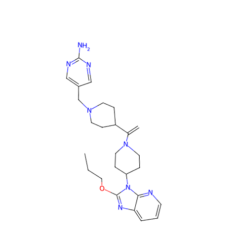 C=C(C1CCN(Cc2cnc(N)nc2)CC1)N1CCC(n2c(OCCC)nc3cccnc32)CC1